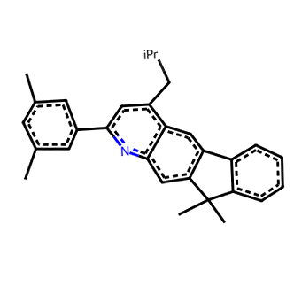 Cc1cc(C)cc(-c2cc(CC(C)C)c3cc4c(cc3n2)C(C)(C)c2ccccc2-4)c1